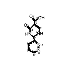 O=C(O)C1=CNC(c2cccnn2)NC1=O